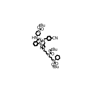 CC(C)(C)OC(=O)N(CCCN(C(=O)OC(C)(C)C)C1CCCCC1)CCCn1cc(CN(Cc2ccc(C#N)cc2)c2nc(NC3CCN(C(=O)OC(C)(C)C)CC3)c3ccccc3n2)nn1